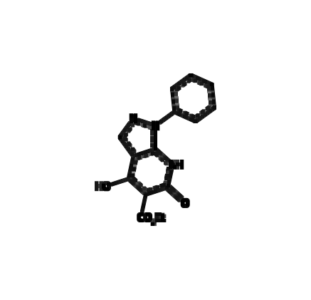 CCOC(=O)c1c(O)c2cnn(-c3ccccc3)c2[nH]c1=O